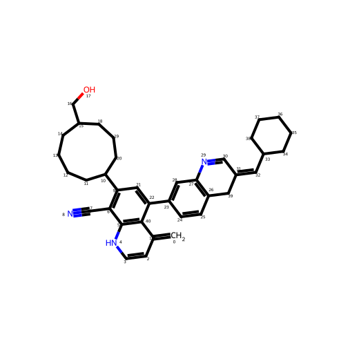 C=C1C=CNc2c(C#N)c(C3CCCCC(CO)CCC3)cc(-c3ccc4c(c3)N=C/C(=C\C3CCCCC3)C4)c21